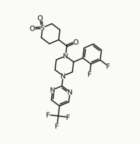 O=C(C1CCS(=O)(=O)CC1)N1CCN(c2ncc(C(F)(F)F)cn2)CC1c1cccc(F)c1F